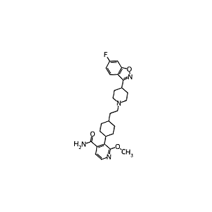 COc1nccc(C(N)=O)c1C1CCC(CCN2CCC(c3noc4cc(F)ccc34)CC2)CC1